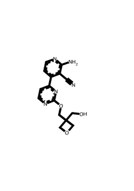 N#Cc1c(-c2ccnc(OCC3(CO)COC3)n2)ccnc1N